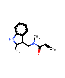 C=CC(=O)N(C)CC1c2ccccc2NC1C